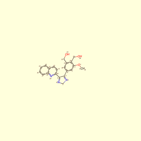 COc1cc(C2=NCN=C2c2ccc3ccccc3n2)cc(CO)c1CO